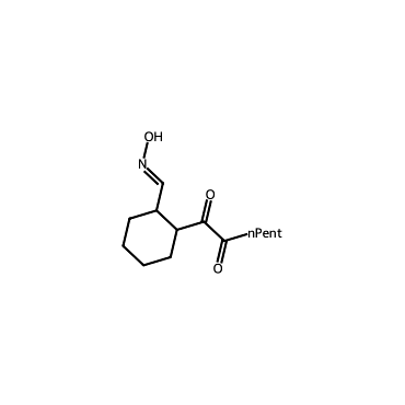 CCCCCC(=O)C(=O)C1CCCCC1C=NO